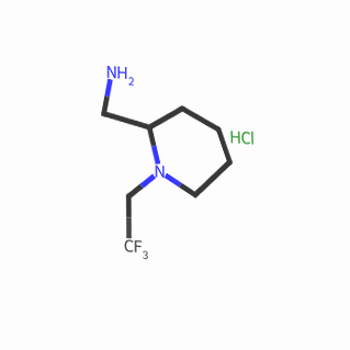 Cl.NCC1CCCCN1CC(F)(F)F